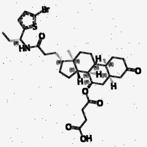 CC[C@@H](NC(=O)CC[C@H]1CC[C@H]2[C@@H]3[C@H](OC(=O)CCC(=O)O)C[C@@H]4CC(=O)CC[C@]4(C)[C@H]3CC[C@]12C)c1ccc(Br)s1